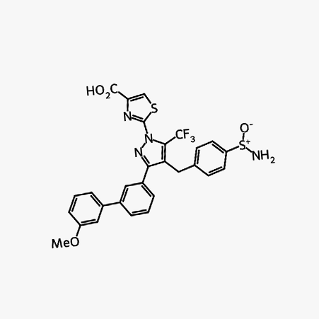 COc1cccc(-c2cccc(-c3nn(-c4nc(C(=O)O)cs4)c(C(F)(F)F)c3Cc3ccc([S+](N)[O-])cc3)c2)c1